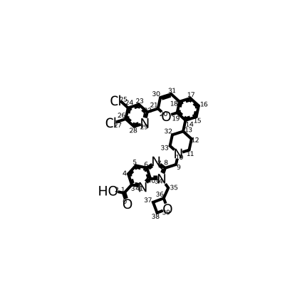 O=C(O)c1ccc2nc(CN3CCC(c4cccc5c4OC(c4cc(Cl)c(Cl)cn4)C=C5)CC3)n(CC3CCO3)c2n1